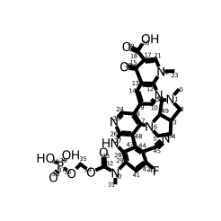 CN1CC2CCN(c3c(-c4cnc5c(c4)c(=O)c(C(=O)O)cn5C)cnc4[nH]c5c(N(C)C(=O)OCOP(=O)(O)O)cc(F)c(C#N)c5c34)C2C1